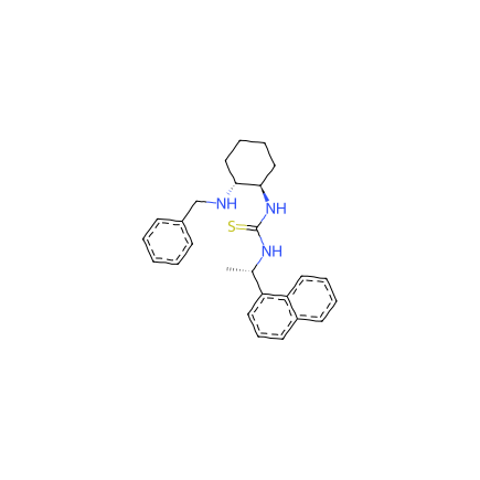 C[C@H](NC(=S)N[C@@H]1CCCC[C@H]1NCc1ccccc1)c1cccc2ccccc12